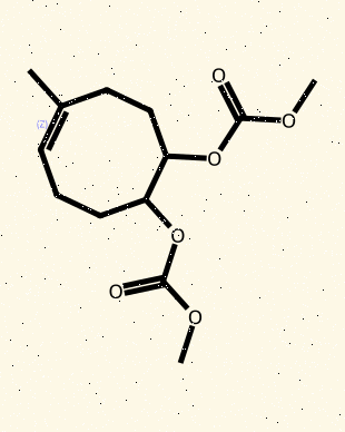 COC(=O)OC1CC/C=C(/C)CCC1OC(=O)OC